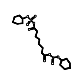 O=C(CCCCCCC(=O)OS(=O)(=O)OC1CCCCC1)OS(=O)OC1CCCCC1